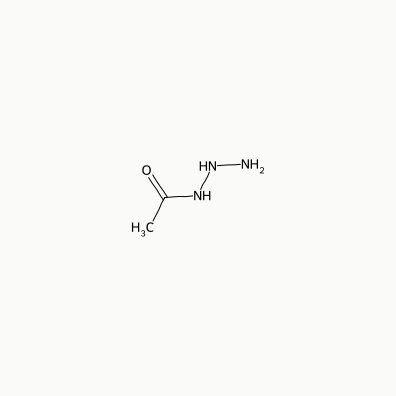 CC(=O)NNN